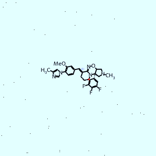 COc1cc(/C=C2\CCCN3C2=NOC2CN(C)C[C@]23c2cc(F)c(F)c(F)c2)ccc1-n1cnc(C)c1